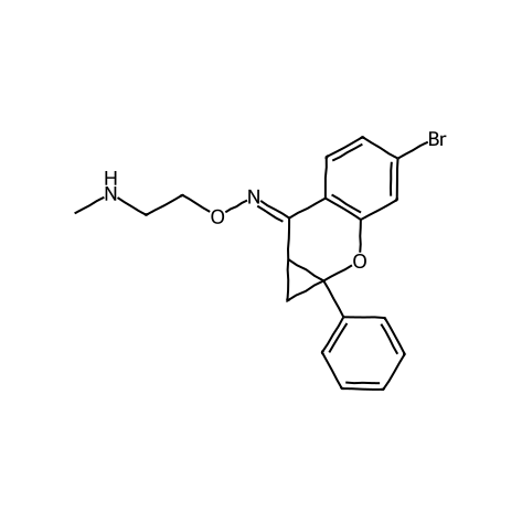 CNCCON=C1c2ccc(Br)cc2OC2(c3ccccc3)CC12